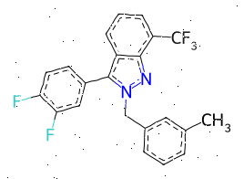 Cc1cccc(Cn2nc3c(C(F)(F)F)cccc3c2-c2ccc(F)c(F)c2)c1